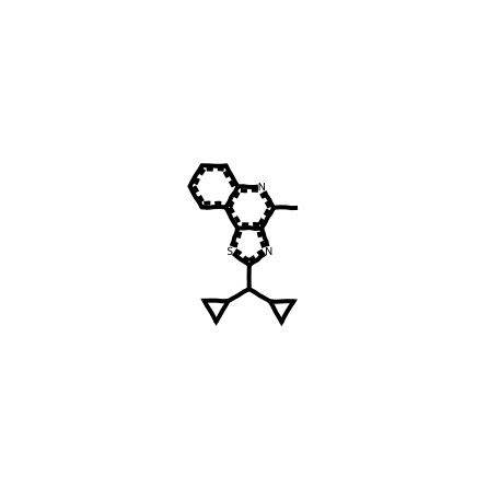 Cc1nc2ccccc2c2sc(C(C3CC3)C3CC3)nc12